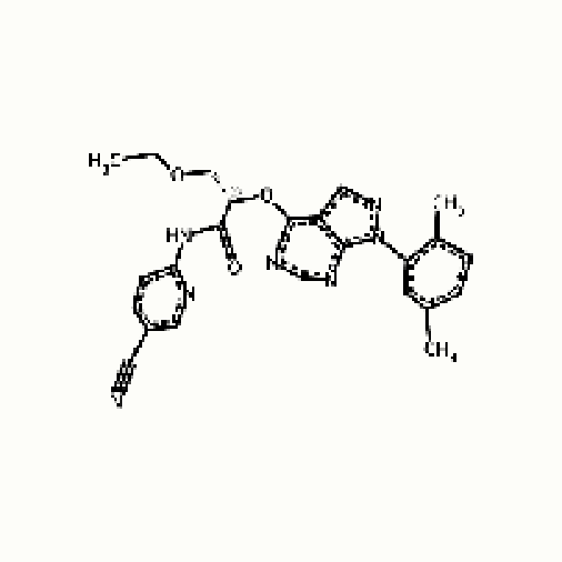 CCOC[C@H](Oc1ncnc2c1cnn2-c1cc(C)ccc1C)C(=O)Nc1ccc(C#N)cn1